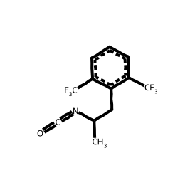 CC(Cc1c(C(F)(F)F)cccc1C(F)(F)F)N=C=O